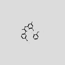 Cc1cc([C@@H](C)Nc2ccccc2CO)c2oc(-c3cccc(C#N)c3)c(C)c(=O)c2c1